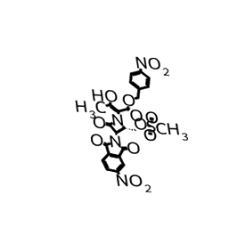 C/C(O)=C(/C(=O)OCc1ccc([N+](=O)[O-])cc1)N1C(=O)[C@@H](N2C(=O)c3ccc([N+](=O)[O-])cc3C2=O)[C@H]1COS(C)(=O)=O